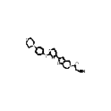 N#CCC(=O)N1CCc2oc(-c3ccnc(Nc4ccc(N5CCOCC5)cc4)n3)cc2C1